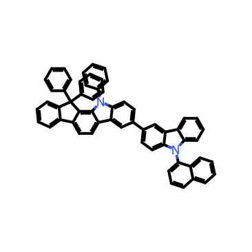 c1ccc(-n2c3ccc(-c4ccc5c(c4)c4ccccc4n5-c4cccc5ccccc45)cc3c3ccc4c(c32)C(c2ccccc2)(c2ccccc2)c2ccccc2-4)cc1